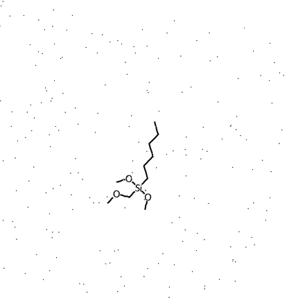 CCCCCC[Si](COC)(OC)OC